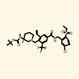 C=Cc1cc(C(=O)NCc2cc(Cl)ccc2S(=O)(=O)CC)cc(C(F)(F)F)c1CN1CCC[C@@](C)(N(C)C(=O)OC(C)(C)C)C1